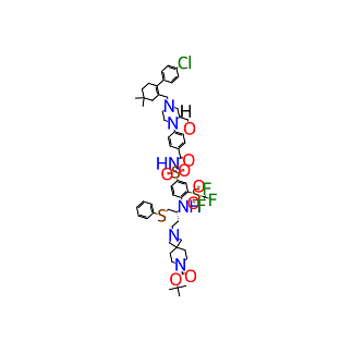 CC1(C)CCC(c2ccc(Cl)cc2)=C(CN2CCN3c4ccc(C(=O)NS(=O)(=O)c5ccc(N[C@H](CCN6CC7(CCN(C(=O)OC(C)(C)C)CC7)C6)CSc6ccccc6)c(S(=O)(=O)C(F)(F)F)c5)cc4OC[C@@H]3C2)C1